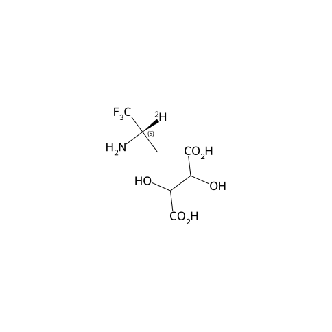 O=C(O)C(O)C(O)C(=O)O.[2H][C@@](C)(N)C(F)(F)F